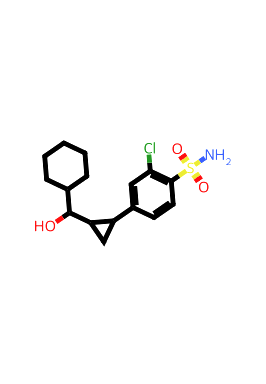 NS(=O)(=O)c1ccc(C2CC2C(O)C2CCCCC2)cc1Cl